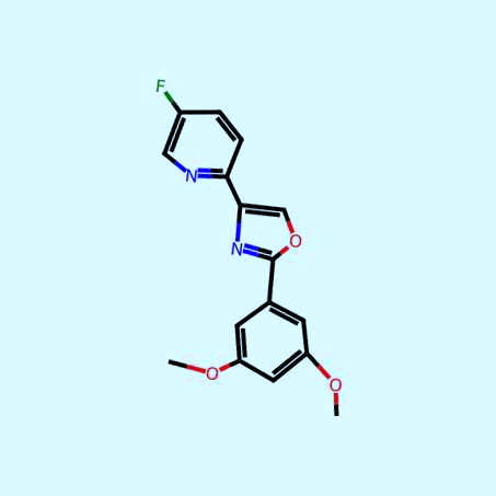 COc1cc(OC)cc(-c2nc(-c3ccc(F)cn3)co2)c1